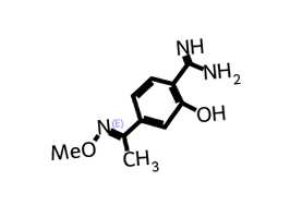 CO/N=C(\C)c1ccc(C(=N)N)c(O)c1